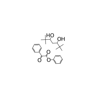 CC(C)(C)C(O)CC(O)C(C)(C)C.O=C(Oc1ccccc1)C(=O)c1ccccc1